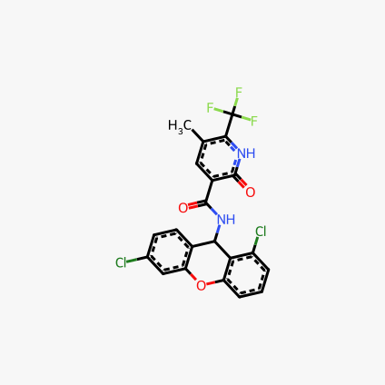 Cc1cc(C(=O)NC2c3ccc(Cl)cc3Oc3cccc(Cl)c32)c(=O)[nH]c1C(F)(F)F